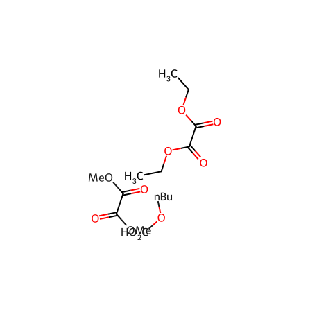 CCCCOC(=O)O.CCOC(=O)C(=O)OCC.COC(=O)C(=O)OC